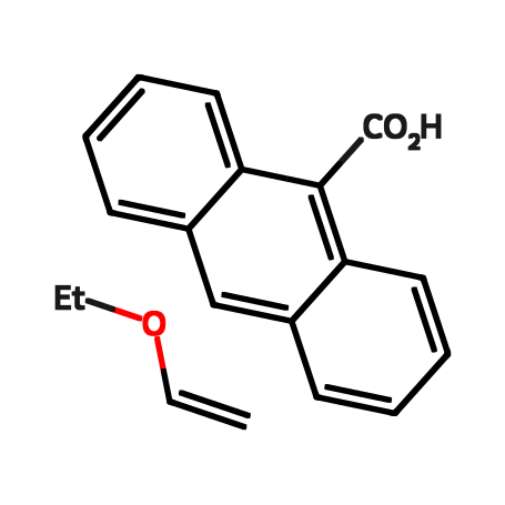 C=COCC.O=C(O)c1c2ccccc2cc2ccccc12